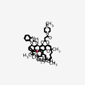 COC(=O)/C(C)=C\CC12OC(C)(C)C3CC(C1=O)C1C4=C(Nc5nc6ccccc6n51)c1c(OC(=O)CC(=O)N5CCN(C)CC5)c5c(c(CC=C(C)C)c1OC432)OC(C)(CCC=C(C)C)C=C5